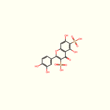 O=c1c(S(=O)(=O)O)c(-c2ccc(O)c(O)c2)oc2cc(O)c(S(=O)(=O)O)c(O)c12